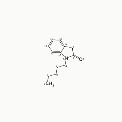 CCCCCN1C(=O)Cc2ccccc21